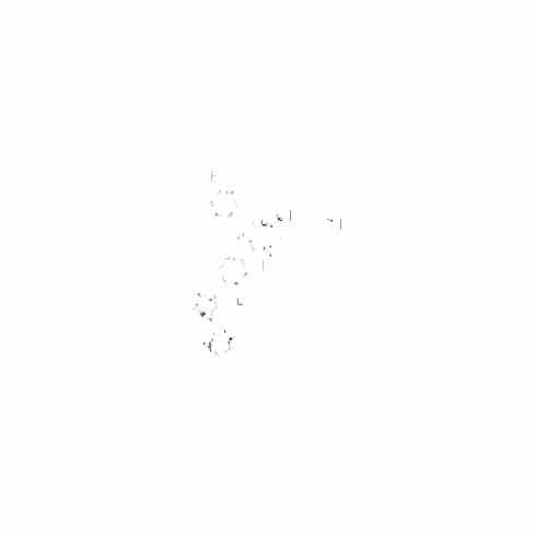 CSCC[C@H](NC(=O)c1cc(OC(Cn2ccnc2)c2nccs2)ccc1CCc1ccc(F)cc1)C(=O)O